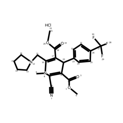 COC(=O)C1=C(C#N)N(C)C(CN2CCCC2)=C(C(=O)OC)C1c1ccc(C(F)(F)F)cc1.Cl